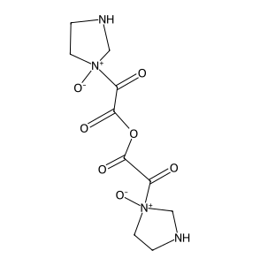 O=C(OC(=O)C(=O)[N+]1([O-])CCNC1)C(=O)[N+]1([O-])CCNC1